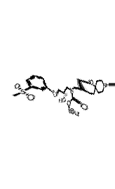 CC(C)(C)OC(=O)N(C[C@H](O)COc1cccc(S(C)(=O)=O)c1)C1COC2(CCNCC2)C1